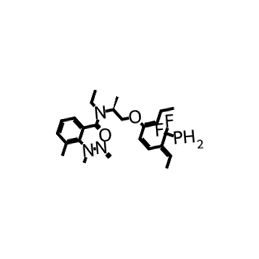 C=NN(C)c1c(C)cccc1C(=O)N(CC)[C@@H](C)COC(/C=C\C(=C/C)C(F)(F)P)=C\CC